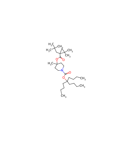 CCCCC(CCCC)(CCCC)OC(=O)N1CCC(C)(OC(=O)C2(CC(C)(C)C)CC2(C)C)CC1